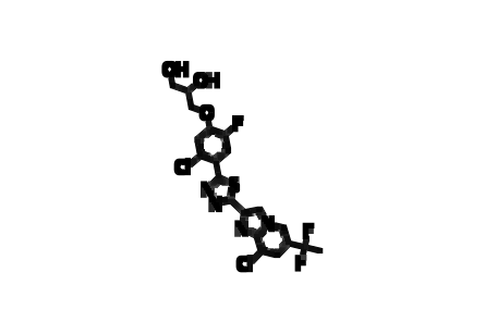 CC(F)(F)c1cc(Cl)c2nc(-c3nnc(-c4cc(F)c(OCC(O)CO)cc4Cl)s3)cn2c1